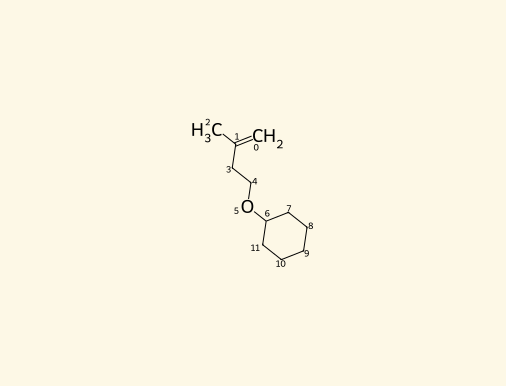 C=C(C)CCOC1CCCCC1